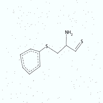 NC(C=S)CSc1ccccc1